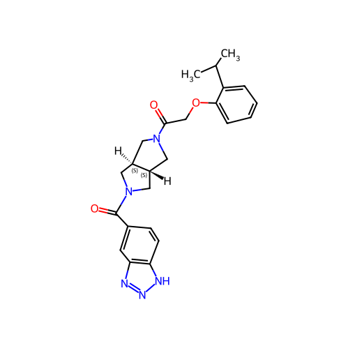 CC(C)c1ccccc1OCC(=O)N1C[C@@H]2CN(C(=O)c3ccc4[nH]nnc4c3)C[C@H]2C1